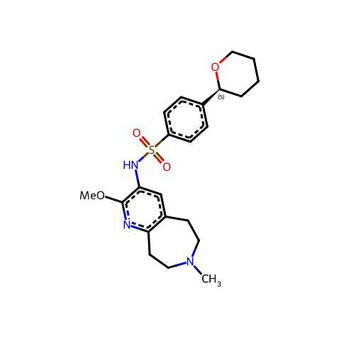 COc1nc2c(cc1NS(=O)(=O)c1ccc([C@@H]3CCCCO3)cc1)CCN(C)CC2